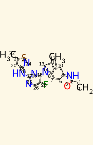 C=CC(=O)Nc1ccc2c(c1)c(C)cn2-c1nc(Nc2cc(C)sn2)ncc1F